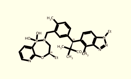 CC[C@@H]1CN(Cc2cc([C@@H](c3ccc4c(nnn4CC)c3C)C(C)(C)C(=O)O)ccc2C)S(O)(O)c2cccnc2O1